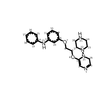 C1=NC=C(OCCOc2cccc(Nc3ccccc3)c2)N(N2CCNCC2)C1